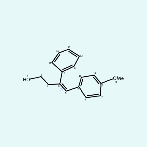 COc1ccc(/C=C(/CCO)c2ccccc2)cc1